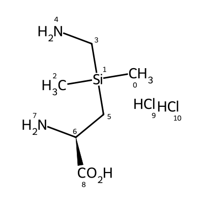 C[Si](C)(CN)C[C@H](N)C(=O)O.Cl.Cl